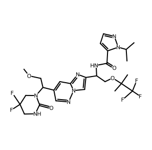 COCC(c1cnn2cc(C(COC(C)(C)C(F)(F)F)NC(=O)c3ccnn3C(C)C)nc2c1)N1CC(F)(F)CNC1=O